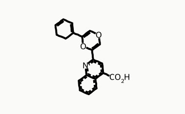 O=C(O)c1cc(C2=COC=C(C3=CC=CCC3)O2)nc2ccccc12